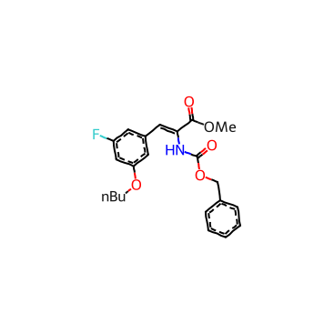 CCCCOc1cc(F)cc(/C=C(\NC(=O)OCc2ccccc2)C(=O)OC)c1